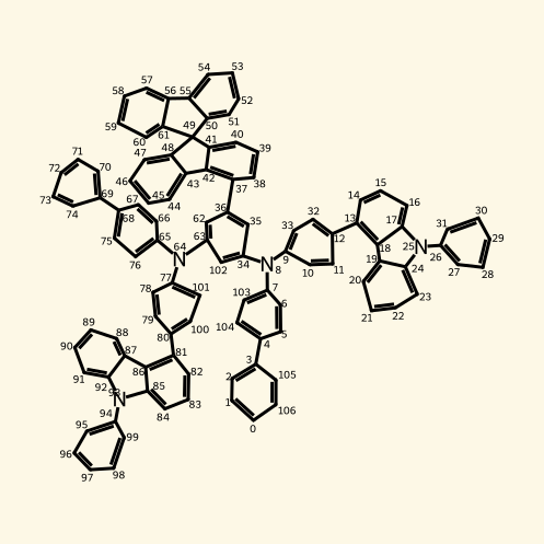 c1ccc(-c2ccc(N(c3ccc(-c4cccc5c4c4ccccc4n5-c4ccccc4)cc3)c3cc(-c4cccc5c4-c4ccccc4C54c5ccccc5-c5ccccc54)cc(N(c4ccc(-c5ccccc5)cc4)c4ccc(-c5cccc6c5c5ccccc5n6-c5ccccc5)cc4)c3)cc2)cc1